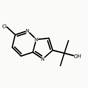 CC(C)(O)c1cn2nc(Cl)ccc2n1